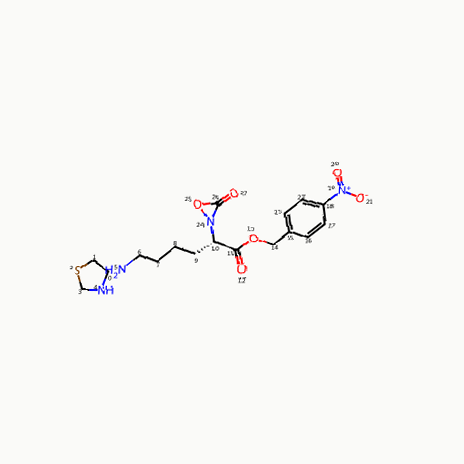 C1CSCN1.NCCCC[C@@H](C(=O)OCc1ccc([N+](=O)[O-])cc1)N1OC1=O